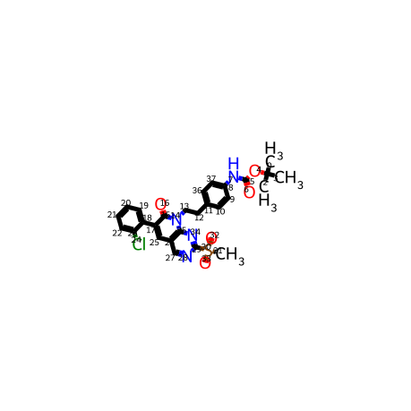 CC(C)(C)OC(=O)Nc1ccc(CCn2c(=O)c(-c3ccccc3Cl)cc3cnc(S(C)(=O)=O)nc32)cc1